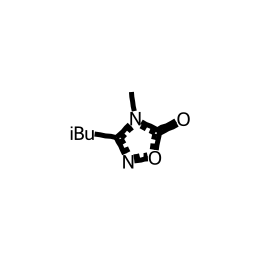 CCC(C)c1noc(=O)n1C